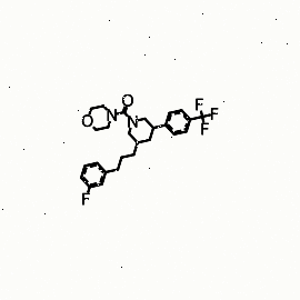 O=C(N1CCOCC1)N1CC(CCCc2cccc(F)c2)CC(c2ccc(C(F)(F)F)cc2)C1